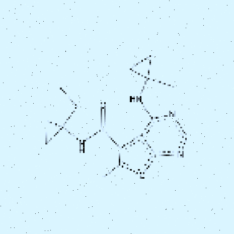 CCC1(NC(=O)c2c(C)oc3ncnc(NC4(C)CC4)c23)CC1